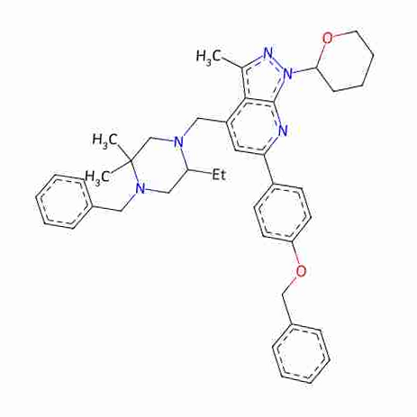 CCC1CN(Cc2ccccc2)C(C)(C)CN1Cc1cc(-c2ccc(OCc3ccccc3)cc2)nc2c1c(C)nn2C1CCCCO1